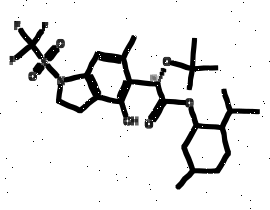 Cc1cc2c(c(O)c1[C@H](OC(C)(C)C)C(=O)OC1CC(C)CCC1C(C)C)CCN2S(=O)(=O)C(F)(F)F